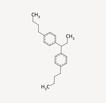 CCCCc1ccc(C(CC)c2ccc(CCCC)cc2)cc1